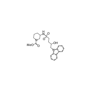 COC(=O)N1CCCC(NS(=O)(=O)CCC(O)Cn2c3ccccc3c3ccccc32)C1